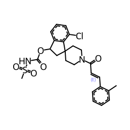 Cc1ccccc1/C=C/C(=O)N1CCC2(CC1)CC(OC(=O)NS(C)(=O)=O)c1cccc(Cl)c12